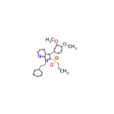 C=CCS(=O)(=O)c1c(-c2ccc(OC)c(OC)c2)c2cccnc2n1CCc1ccccc1